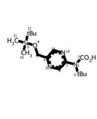 CC(C)(C)N(C(=O)O)c1cnc(CO[Si](C)(C)C(C)(C)C)cn1